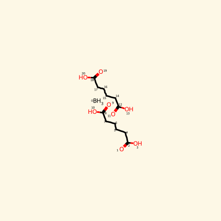 B.O=C(O)CCCCC(=O)O.O=C(O)CCCCC(=O)O